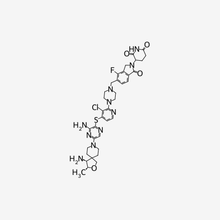 C[C@@H]1OCC2(CCN(c3cnc(Sc4ccnc(N5CCN(Cc6ccc7c(c6F)CN(C6CCC(=O)NC6=O)C7=O)CC5)c4Cl)c(N)n3)CC2)[C@@H]1N